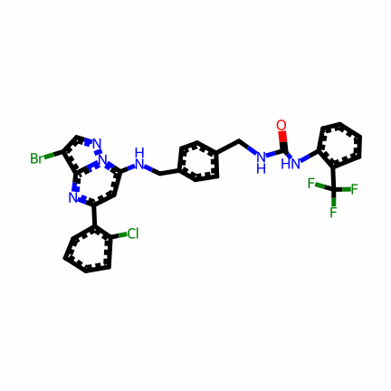 O=C(NCc1ccc(CNc2cc(-c3ccccc3Cl)nc3c(Br)cnn23)cc1)Nc1ccccc1C(F)(F)F